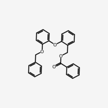 O=C(OCc1ccccc1Oc1ccccc1OCc1ccccc1)c1ccccc1